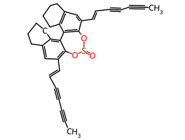 CC#CC#C/C=C/c1cc2c(c3c1OS(=O)Oc1c(/C=C/C#CC#CC)cc4c(c1-3)CCCC4)CCCC2